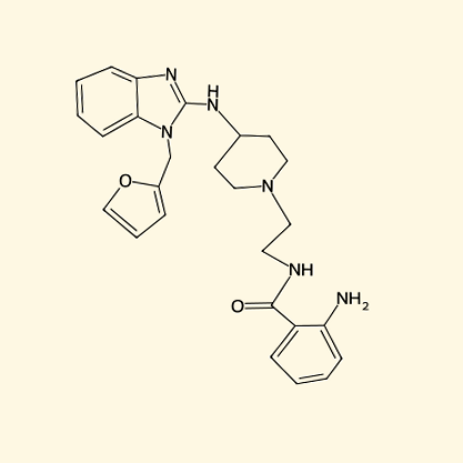 Nc1ccccc1C(=O)NCCN1CCC(Nc2nc3ccccc3n2Cc2ccco2)CC1